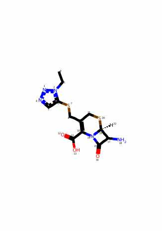 CCn1nncc1SCC1=C(C(=O)O)N2C(=O)C(N)[C@@H]2SC1